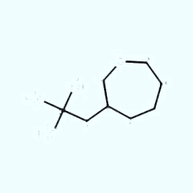 CC(C)(C)CC1CCCCOC1